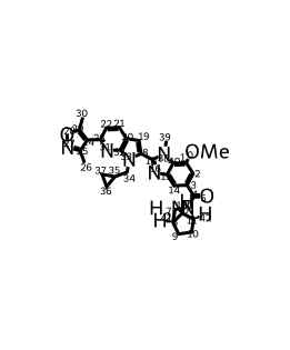 COc1cc(C(=O)N2C[C@H]3CC[C@@H]2[C@@H]3N)cc2nc(-c3cc4ccc(-c5c(C)noc5C)nc4n3CC3CC3)n(C)c12